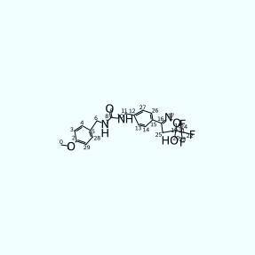 COc1ccc(CNC(=O)NCc2ccc(C3=NOC(O)(C(F)(F)F)C3)cc2)cc1